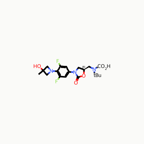 CC1(O)CN(c2c(F)cc(N3C[C@@H](CN(C(=O)O)C(C)(C)C)OC3=O)cc2F)C1